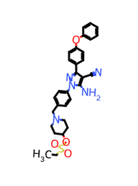 CCS(=O)(=O)OC1CCN(Cc2ccc(-n3nc(-c4ccc(Oc5ccccc5)cc4)c(C#N)c3N)cc2)CC1